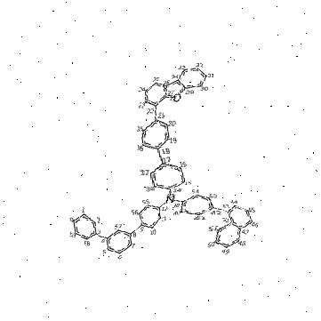 c1ccc(-c2cccc(-c3ccc(N(c4ccc(-c5ccc(-c6cccc7c6oc6ccccc67)cc5)cc4)c4ccc(-c5cccc6ccccc56)cc4)cc3)c2)cc1